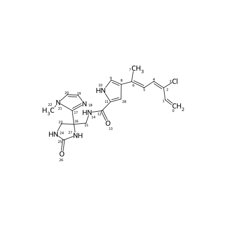 C=C/C(Cl)=C\C=C(/C)c1c[nH]c(C(=O)NCC2(c3nccn3C)CNC(=O)N2)c1